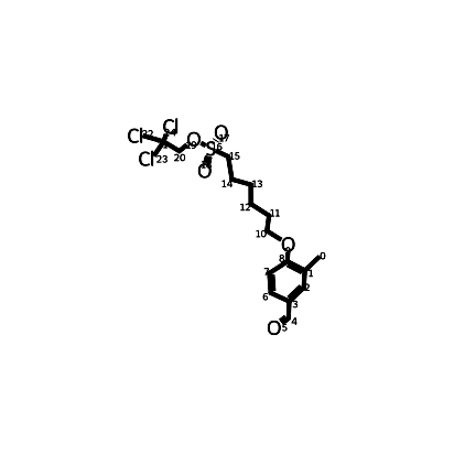 Cc1cc(C=O)ccc1OCCCCCCS(=O)(=O)OCC(Cl)(Cl)Cl